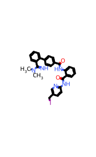 CN(C)C(=N)c1ccccc1-c1ccc(C(=O)Nc2ccccc2C(=O)Nc2ccc(CI)cn2)cc1